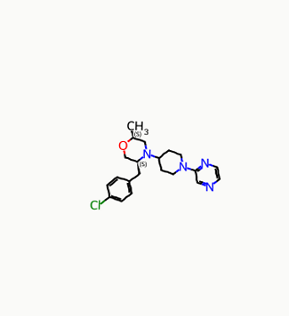 C[C@H]1CN(C2CCN(c3cnccn3)CC2)[C@@H](Cc2ccc(Cl)cc2)CO1